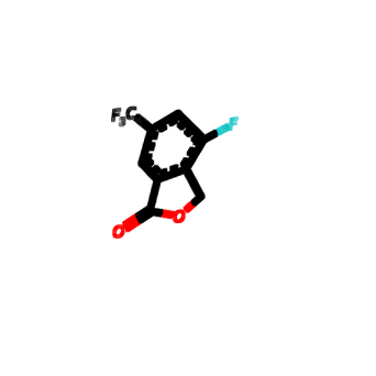 O=C1OCc2c(F)cc(C(F)(F)F)cc21